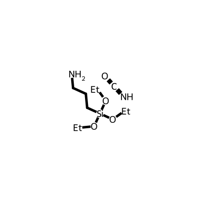 CCO[Si](CCCN)(OCC)OCC.N=C=O